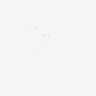 [CH2]CCC([CH2])NC(=O)c1ccccc1